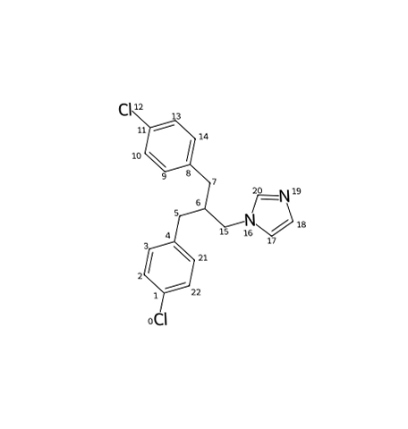 Clc1ccc(CC(Cc2ccc(Cl)cc2)Cn2ccnc2)cc1